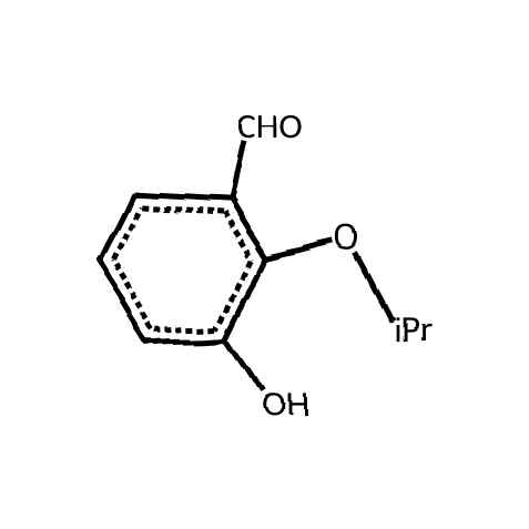 CC(C)Oc1c(O)cccc1C=O